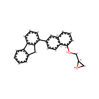 c1ccc2c(c1)Cc1c(-c3ccc4c(OCC5CO5)cccc4c3)cccc1-2